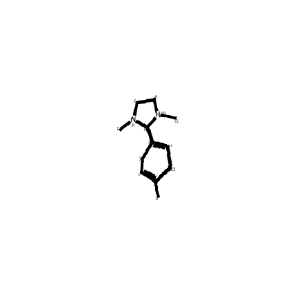 CC1=CCC(C2N(C)CCN2C)=CC1